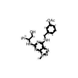 CC(=O)Oc1cccc(CNc2nc(NC(CO)C(C)C)nc3c2nnn3C)c1